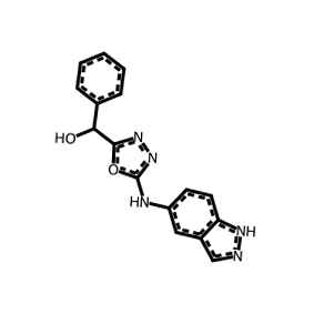 OC(c1ccccc1)c1nnc(Nc2ccc3[nH]ncc3c2)o1